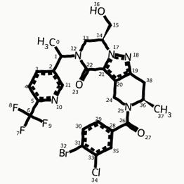 CC(c1ccc(C(F)(F)F)nc1)N1C[C@@H](CO)n2nc3c(c2C1=O)CN(C(=O)c1ccc(Br)c(Cl)c1)[C@H](C)C3